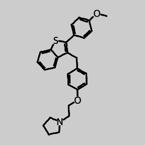 COc1ccc(-c2sc3ccccc3c2Cc2ccc(OCCN3CCCC3)cc2)cc1